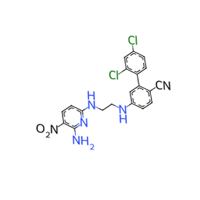 N#Cc1ccc(NCCNc2ccc([N+](=O)[O-])c(N)n2)cc1-c1ccc(Cl)cc1Cl